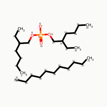 CCCCC(CC)COP(=O)([O-])OCC(CC)CCCC.CCCCCCCCC[CH2][Ni+]